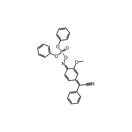 COC1=CC(=C(C#N)c2ccccc2)C=CC1=NOP(=O)(Oc1ccccc1)Oc1ccccc1